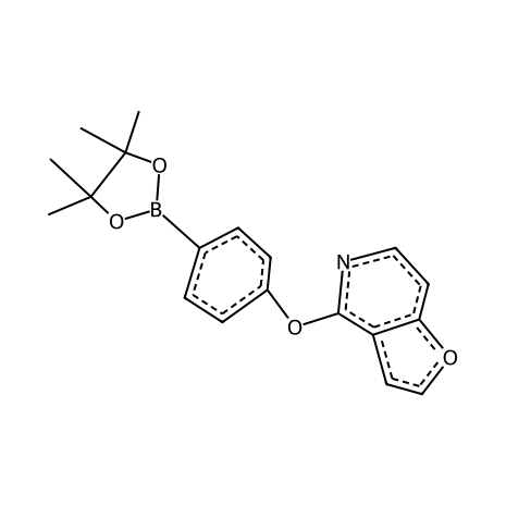 CC1(C)OB(c2ccc(Oc3nccc4occc34)cc2)OC1(C)C